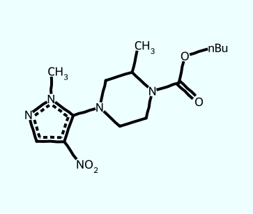 CCCCOC(=O)N1CCN(c2c([N+](=O)[O-])cnn2C)CC1C